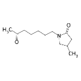 CC(=O)CCCCCN1CC(C)CC1=O